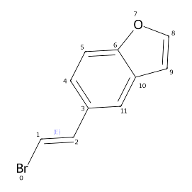 Br/C=C/c1ccc2occc2c1